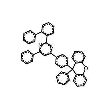 c1ccc(-c2cc(-c3ccc(C4(c5ccccc5)c5ccccc5Oc5ccccc54)cc3)nc(-c3ccccc3-c3ccccc3)n2)cc1